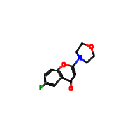 O=c1cc(N2CCOCC2)oc2ccc(F)cc12